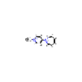 CC(C)(C)[n+]1ccc(N2C=CC=CC=C2)cc1